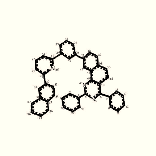 c1ccc(-c2nc(-c3ccccc3)c3ccc4ccc(-c5cccc(-c6cccc(-c7ccc8ccccc8c7)n6)c5)cc4c3n2)cc1